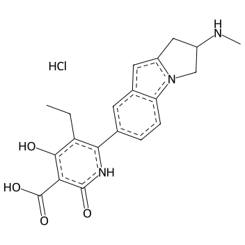 CCc1c(-c2ccc3c(c2)cc2n3CC(NC)C2)[nH]c(=O)c(C(=O)O)c1O.Cl